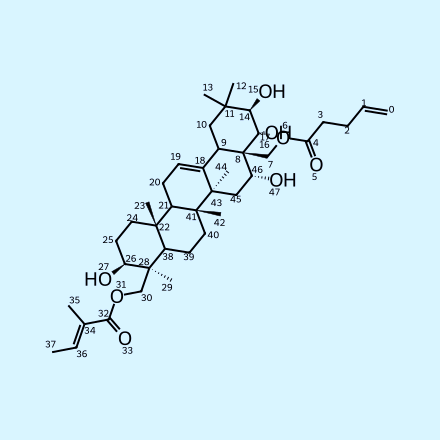 C=CCCC(=O)OC[C@@]12C(CC(C)(C)[C@@H](O)[C@@H]1O)C1=CCC3[C@@]4(C)CC[C@H](O)[C@](C)(COC(=O)/C(C)=C/C)C4CC[C@@]3(C)[C@]1(C)C[C@H]2O